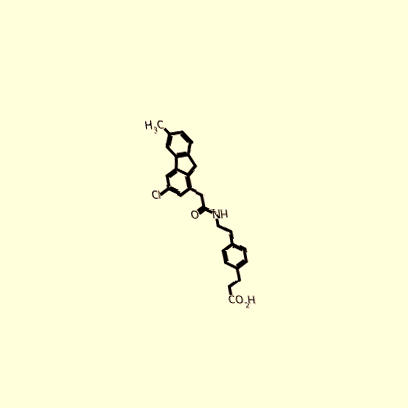 Cc1ccc2c(c1)-c1cc(Cl)cc(CC(=O)NCCc3ccc(CCC(=O)O)cc3)c1C2